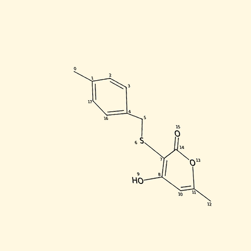 Cc1ccc(CSc2c(O)cc(C)oc2=O)cc1